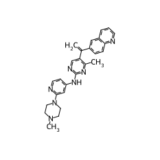 C=C(c1ccc2ncccc2c1)c1cnc(Nc2ccnc(N3CCN(C)CC3)c2)nc1C